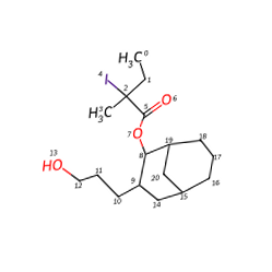 CCC(C)(I)C(=O)OC1C(CCCO)CC2CCCC1C2